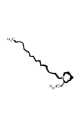 CCCCCCCCCCCCCC[n+]1ccccc1CC